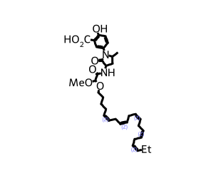 CC/C=C\C/C=C\C/C=C\C/C=C\C/C=C\CCCCOC(OC)C(=O)NC1CC(C)N(c2ccc(O)c(C(=O)O)c2)C1=O